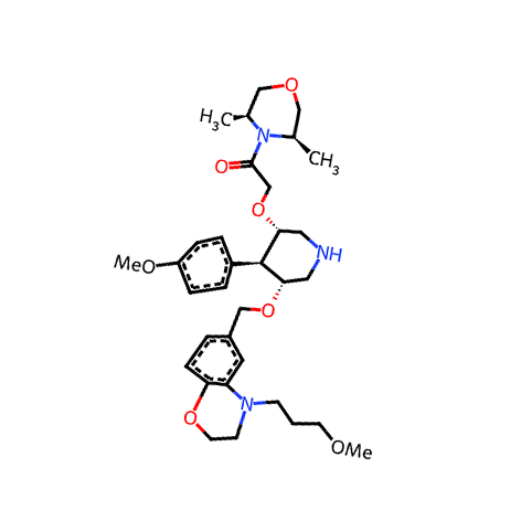 COCCCN1CCOc2ccc(CO[C@H]3CNC[C@@H](OCC(=O)N4[C@H](C)COC[C@@H]4C)[C@@H]3c3ccc(OC)cc3)cc21